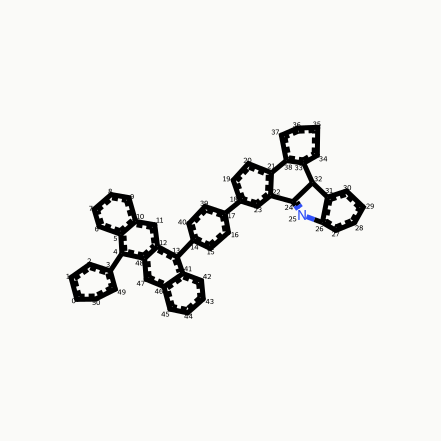 c1ccc(-c2c3ccccc3cc3c(-c4ccc(-c5ccc6c(c5)C5=Nc7ccccc7C5c5ccccc5-6)cc4)c4ccccc4cc23)cc1